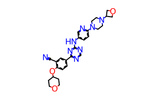 N#Cc1cc(-c2ncnc(Nc3ccc(N4CCN(C5COC5)CC4)nc3)n2)ccc1OC1CCOCC1